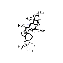 COC(=O)OC(/C=C/[C@@H](C)[C@H]1CCC2C(O[Si](C)(C)C)CCC[C@@]21C)[C@@]1(C)O[C@H](C(C)(C)C)OC1=O